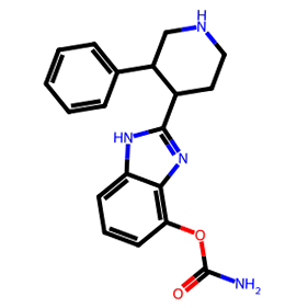 NC(=O)Oc1cccc2[nH]c(C3CCNCC3c3ccccc3)nc12